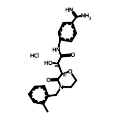 Cc1ccccc1CN1CCO[C@H]([C@@H](O)C(=O)Nc2ccc(C(=N)N)cc2)C1=O.Cl